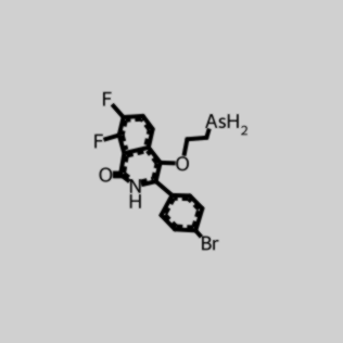 O=c1[nH]c(-c2ccc(Br)cc2)c(OCC[AsH2])c2ccc(F)c(F)c12